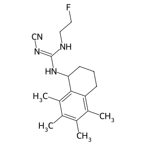 Cc1c(C)c(C)c2c(c1C)CCCC2N/C(=N/C#N)NCCF